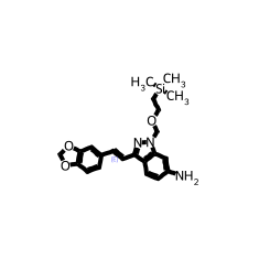 C[Si](C)(C)CCOCn1nc(/C=C/c2ccc3c(c2)OCO3)c2ccc(N)cc21